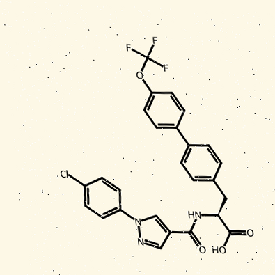 O=C(N[C@@H](Cc1ccc(-c2ccc(OC(F)(F)F)cc2)cc1)C(=O)O)c1cnn(-c2ccc(Cl)cc2)c1